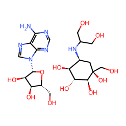 Nc1ncnc2c1ncn2[C@@H]1O[C@H](CO)[C@@H](O)[C@H]1O.OCC(CO)N[C@H]1C[C@](O)(CO)[C@@H](O)[C@H](O)[C@H]1O